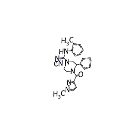 Cc1ccccc1N/C(=N/C#N)N1CCN(C(=O)c2ccn(C)n2)C(c2ccccc2)C1